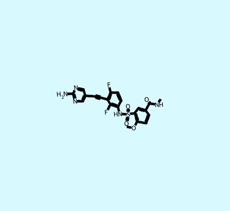 CNC(=O)c1ccc(OC)c(S(=O)(=O)Nc2ccc(F)c(C#Cc3cnc(N)nc3)c2F)c1